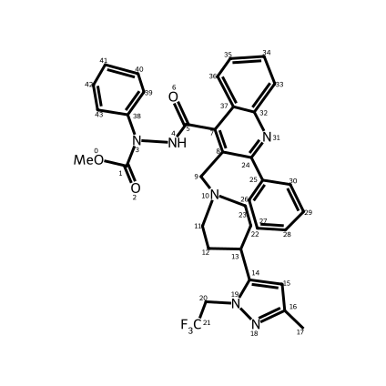 COC(=O)N(NC(=O)c1c(CN2CCC(c3cc(C)nn3CC(F)(F)F)CC2)c(-c2ccccc2)nc2ccccc12)c1ccccc1